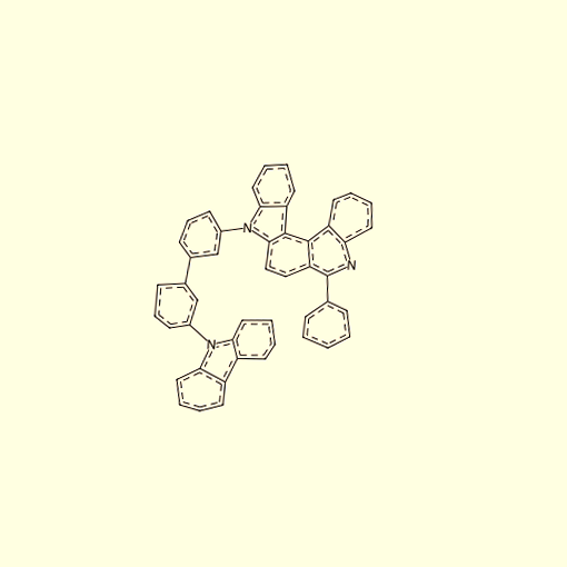 c1ccc(-c2nc3ccccc3c3c2ccc2c3c3ccccc3n2-c2cccc(-c3cccc(-n4c5ccccc5c5ccccc54)c3)c2)cc1